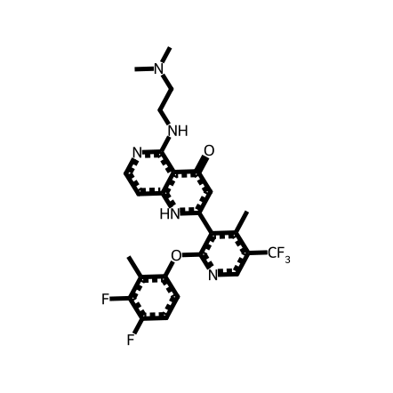 Cc1c(Oc2ncc(C(F)(F)F)c(C)c2-c2cc(=O)c3c(NCCN(C)C)nccc3[nH]2)ccc(F)c1F